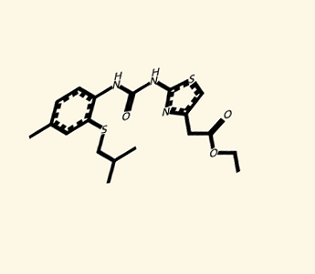 CCOC(=O)Cc1csc(NC(=O)Nc2ccc(C)cc2SCC(C)C)n1